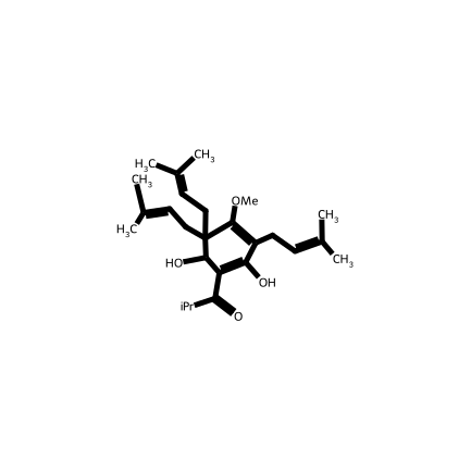 COC1=C(CC=C(C)C)C(O)=C(C(=O)C(C)C)C(O)C1(CC=C(C)C)CC=C(C)C